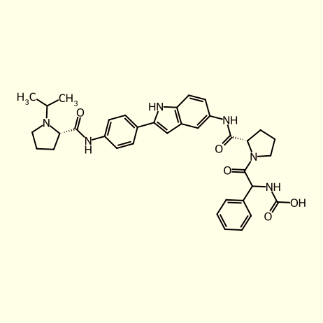 CC(C)N1CCC[C@H]1C(=O)Nc1ccc(-c2cc3cc(NC(=O)[C@@H]4CCCN4C(=O)C(NC(=O)O)c4ccccc4)ccc3[nH]2)cc1